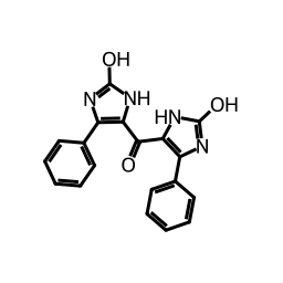 O=C(c1[nH]c(O)nc1-c1ccccc1)c1[nH]c(O)nc1-c1ccccc1